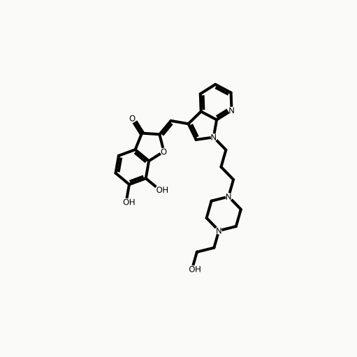 O=C1/C(=C/c2cn(CCCN3CCN(CCO)CC3)c3ncccc23)Oc2c1ccc(O)c2O